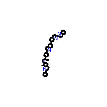 C=CC(/C=C\c1ccc2ccc(-c3ccccc3)nc2c1C)c1ccc(-c2ccc3cc(-c4ccc5ccc(-c6ccc7ccccc7n6)nc5c4)ccc3n2)cc1